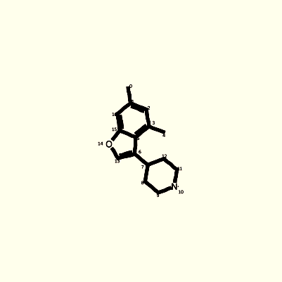 Cc1cc(C)c2c(C3CC[N]CC3)coc2c1